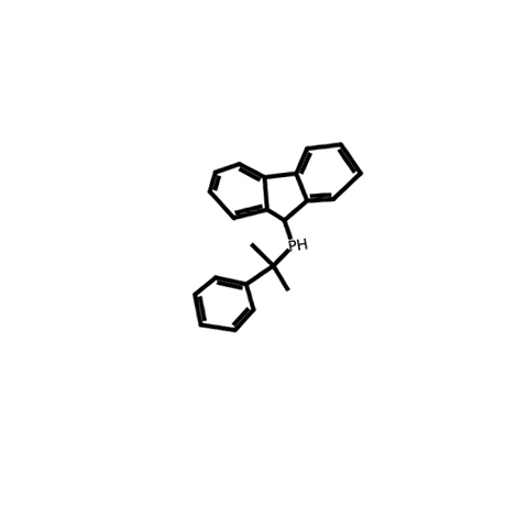 CC(C)(PC1c2ccccc2-c2ccccc21)c1ccccc1